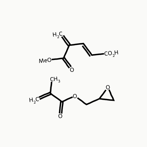 C=C(C)C(=O)OCC1CO1.C=C(C=CC(=O)O)C(=O)OC